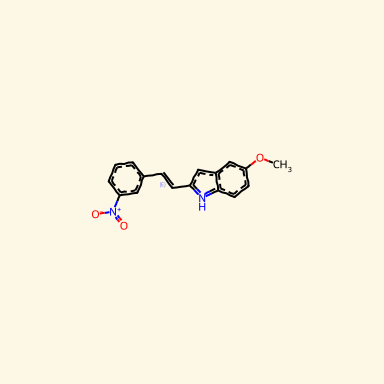 COc1ccc2[nH]c(/C=C/c3cccc([N+](=O)[O-])c3)cc2c1